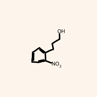 O=[N+]([O-])c1ccccc1CCCO